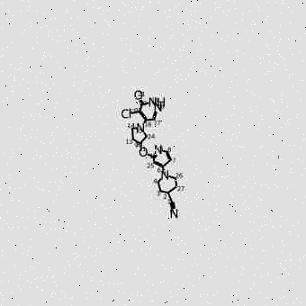 N#CC1CCN(c2ccnc(O[C@@H]3CCN(c4cn[nH]c(=O)c4Cl)C3)c2)CC1